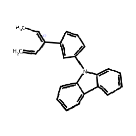 C=C/C(=C\C)c1cccc(-n2c3ccccc3c3ccccc32)c1